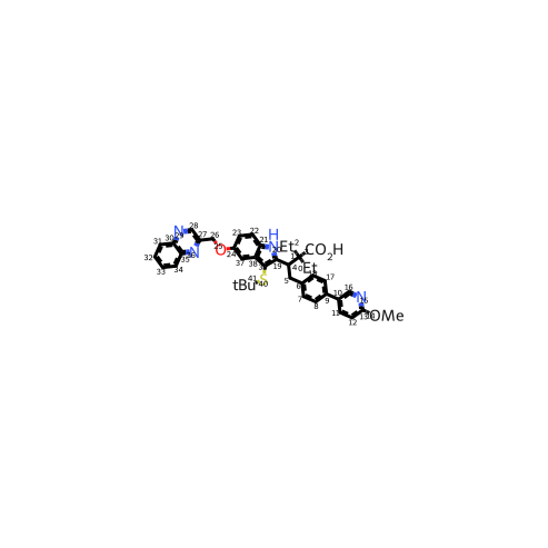 CCC(CC)(C(=O)O)C(Cc1ccc(-c2ccc(OC)nc2)cc1)c1[nH]c2ccc(OCc3cnc4ccccc4n3)cc2c1SC(C)(C)C